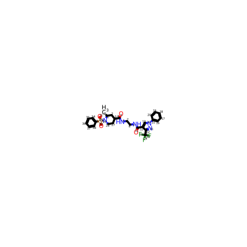 CC1CC(C(=O)NCCNC(=O)c2cn(-c3ccccc3)nc2C(F)(F)F)CCN1S(=O)(=O)c1ccccc1